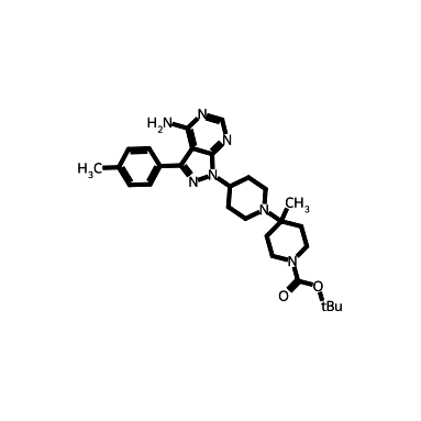 Cc1ccc(-c2nn(C3CCN(C4(C)CCN(C(=O)OC(C)(C)C)CC4)CC3)c3ncnc(N)c23)cc1